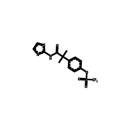 CC(C)(C(=O)Nc1nccs1)c1ccc(OS(=O)(=O)C(F)(F)F)cc1